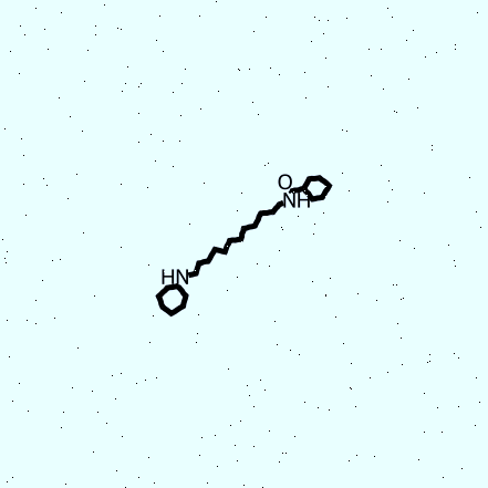 O=C(NCCCCCCCCCCCCNC1CCCCCC1)C1CCCCC1